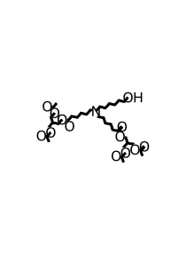 CC(=O)OCC(COC(C)=O)COC(=O)CCCCCN(CCCCCCO)CCCCCC(=O)OCC(COC(C)=O)COC(C)=O